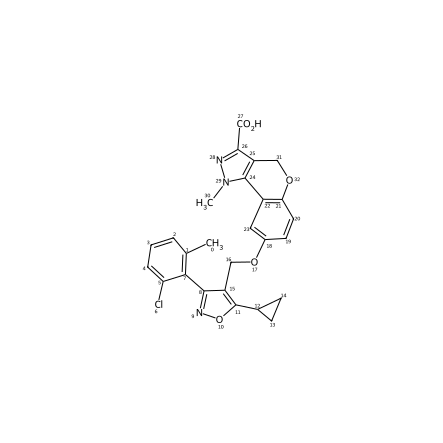 Cc1cccc(Cl)c1-c1noc(C2CC2)c1COc1ccc2c(c1)-c1c(c(C(=O)O)nn1C)CO2